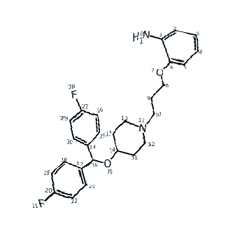 Nc1ccccc1OCCCN1CCC(OC(c2ccc(F)cc2)c2ccc(F)cc2)CC1